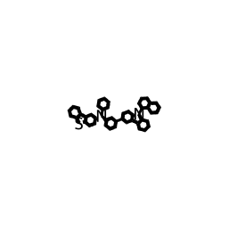 c1ccc(N(c2cccc(-c3ccc4c(c3)c3ccccc3n4-c3cccc4ccccc34)c2)c2ccc3sc4ccccc4c3c2)cc1